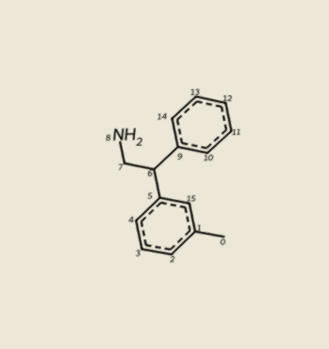 Cc1cccc(C(CN)c2ccccc2)c1